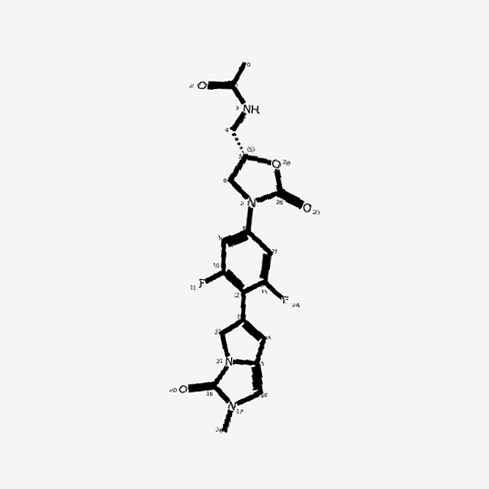 CC(=O)NC[C@H]1CN(c2cc(F)c(C3=Cc4cn(C)c(=O)n4C3)c(F)c2)C(=O)O1